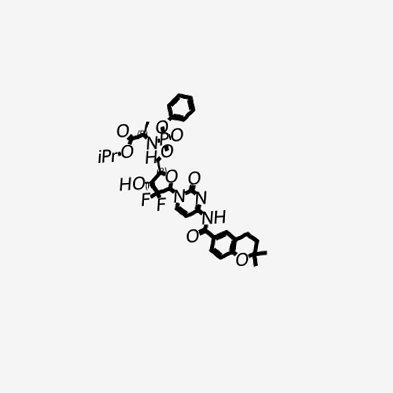 CC(C)OC(=O)[C@@H](C)NP(=O)(OC[C@H]1OC(n2ccc(NC(=O)c3ccc4c(c3)CCC(C)(C)O4)nc2=O)C(F)(F)[C@@H]1O)Oc1ccccc1